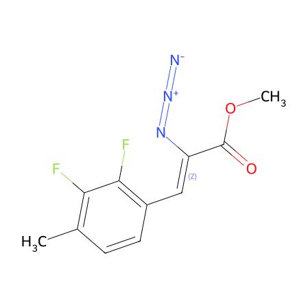 COC(=O)/C(=C/c1ccc(C)c(F)c1F)N=[N+]=[N-]